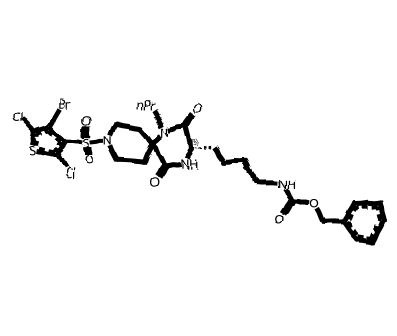 CCCN1C(=O)[C@H](CCCCNC(=O)OCc2ccccc2)NC(=O)C12CCN(S(=O)(=O)c1c(Cl)sc(Cl)c1Br)CC2